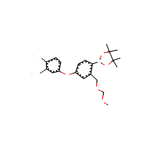 CCOCOCc1cc(Oc2ccc(OC)c(OC)c2)ccc1B1OC(C)(C)C(C)(C)O1